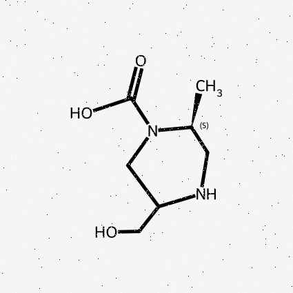 C[C@H]1CNC(CO)CN1C(=O)O